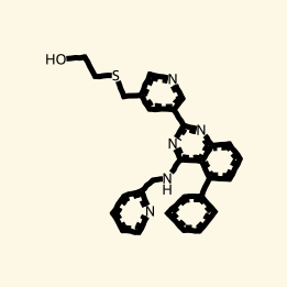 OCCSCc1cncc(-c2nc(NCc3ccccn3)c3c(-c4ccccc4)cccc3n2)c1